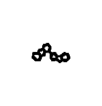 c1ccc2c(c1)Cc1ccc(-c3cccc4cc5ccccc5cc34)cc1-2